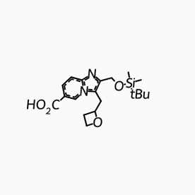 CC(C)(C)[Si](C)(C)OCc1nc2ccc(C(=O)O)cn2c1CC1CCO1